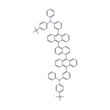 C[Si](C)(C)c1ccc(N(c2ccccc2)c2cccc(-c3c4ccccc4c(-c4cccc5c(-c6c7ccccc7c(-c7cccc(N(c8ccccc8)c8ccc([Si](C)(C)C)cc8)c7)c7ccccc67)cccc45)c4ccccc34)c2)cc1